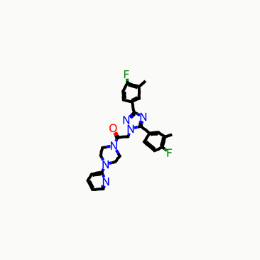 Cc1cc(-c2nc(-c3ccc(F)c(C)c3)n(CC(=O)N3CCN(c4ccccn4)CC3)n2)ccc1F